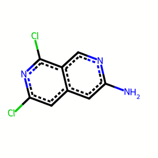 Nc1cc2cc(Cl)nc(Cl)c2cn1